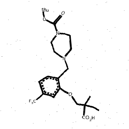 CC(C)(C)OC(=O)N1CCN(Cc2ccc(C(F)(F)F)cc2OCC(C)(C)C(=O)O)CC1